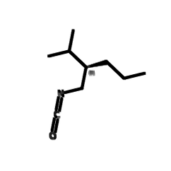 CCC[C@@H](CN=C=O)C(C)C